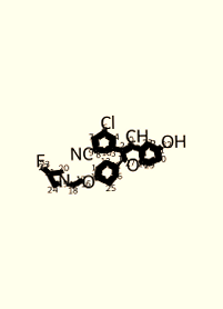 CC1=C(c2cc(Cl)cc(C#N)c2)[C@H](c2ccc(OCCN3CC(CF)C3)cc2)Oc2ccc(O)cc21